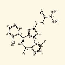 CCCN(CCC)C(=O)CCc1cc2c(s1)-n1c(C)nnc1C(C)N=C2c1ccccc1Cl